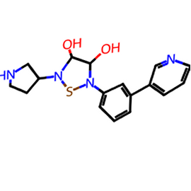 OC1C(O)N(C2CCNC2)SN1c1cccc(-c2cccnc2)c1